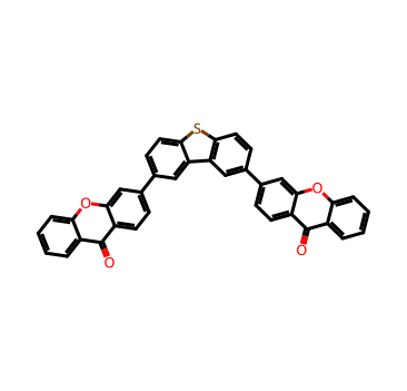 O=c1c2ccccc2oc2cc(-c3ccc4sc5ccc(-c6ccc7c(=O)c8ccccc8oc7c6)cc5c4c3)ccc12